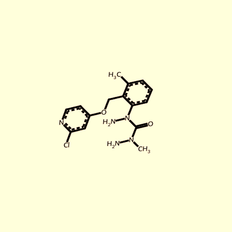 Cc1cccc(N(N)C(=O)N(C)N)c1COc1ccnc(Cl)c1